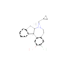 Oc1cc2c(cc1Cl)CCN(CC1CC1)[C@@H]1Cc3ccccc3[C@@H]21